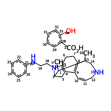 CC1C2CC3=C(CCC4=C3/C=C\CNCC41C)N2CCNc1ccccc1.O=C(O)c1ccccc1O